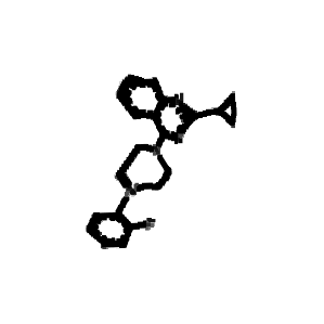 Fc1ccccc1N1CCN(c2nc(C3CC3)nc3ccccc23)CC1